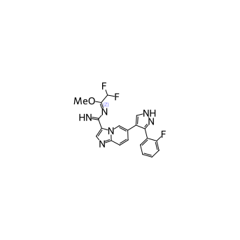 CO/C(=N\C(=N)c1cnc2ccc(-c3c[nH]nc3-c3ccccc3F)cn12)C(F)F